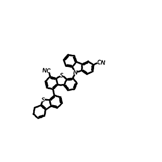 N#Cc1ccc2c(c1)c1ccccc1n2-c1cccc2c1sc1c(C#N)ccc(-c3cccc4c5c(sc34)CCC=C5)c12